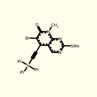 CSc1ncc2c(C#C[Si](C(C)C)(C(C)C)C(C)C)c(Br)c(=O)n(C)c2n1